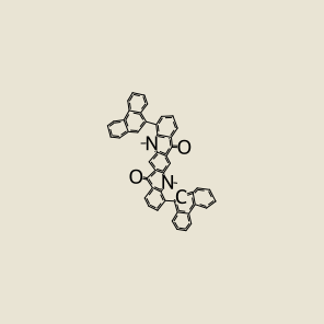 Cn1c2cc3c(=O)c4cccc(-c5cc6ccccc6c6ccccc56)c4n(C)c3cc2c(=O)c2cccc(-c3cc4ccccc4c4ccccc34)c21